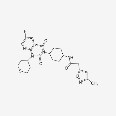 Cc1cc(CC(=O)NC2CCC(n3c(=O)c4cc(F)cnc4n(C4CCSCC4)c3=O)CC2)on1